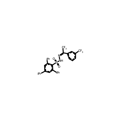 CC(C)c1cc(C(C)C)c(S(=O)(=O)NN=C(c2cccc(C(F)(F)F)c2)C(F)(F)F)c(C(C)C)c1